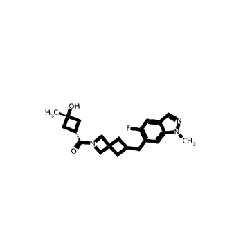 Cn1ncc2cc(F)c(CC3CC4(C3)CN(C(=O)[C@H]3C[C@@](C)(O)C3)C4)cc21